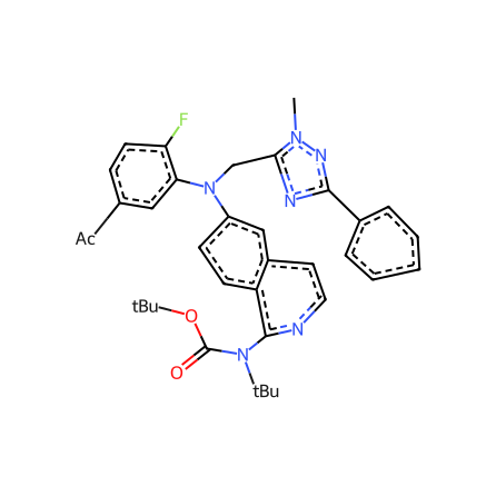 CC(=O)c1ccc(F)c(N(Cc2nc(-c3ccccc3)nn2C)c2ccc3c(N(C(=O)OC(C)(C)C)C(C)(C)C)nccc3c2)c1